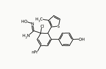 CCCC1=CC(Cl)(/C(N)=N/O)C(c2sccc2C)C(c2ccc(O)cc2)=C1